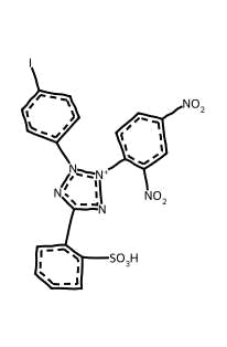 O=[N+]([O-])c1ccc(-[n+]2nc(-c3ccccc3S(=O)(=O)O)nn2-c2ccc(I)cc2)c([N+](=O)[O-])c1